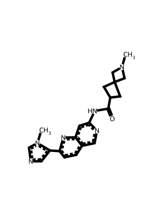 CN1CC2(CC(C(=O)Nc3cc4nc(-c5cncn5C)ccc4cn3)C2)C1